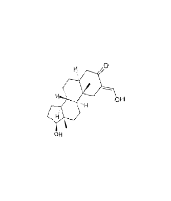 C[C@]12C/C(=C\O)C(=O)C[C@@H]1CC[C@@H]1[C@@H]2CC[C@]2(C)[C@@H](O)CC[C@@H]12